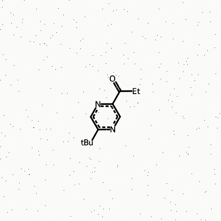 CCC(=O)c1cnc(C(C)(C)C)cn1